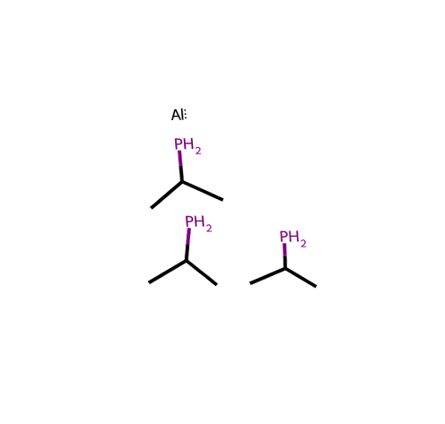 CC(C)P.CC(C)P.CC(C)P.[Al]